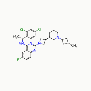 CC1CC(N2CCC[C@H](C3CN(c4nc(N[C@H](C)c5ccc(Cl)cc5Cl)c5cc(F)ccc5n4)C3)C2)C1